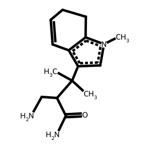 Cn1cc(C(C)(C)C(CN)C(N)=O)c2c1CCC=C2